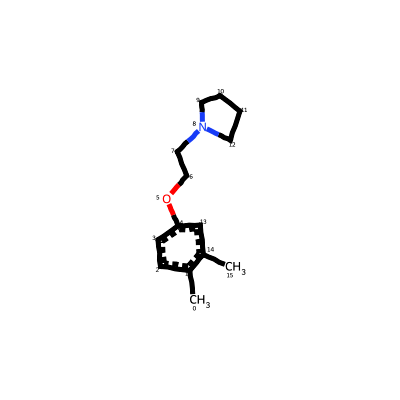 Cc1ccc(OCCN2CCCC2)cc1C